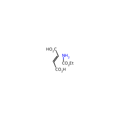 CCOC(N)=O.O=C(O)/C=C/C(=O)O